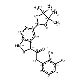 CC1(C)OB(c2cnc3c(c2)C(C(=O)Cc2cccc(F)c2F)CN3)OC1(C)C